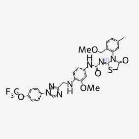 COCc1ccc(C)cc1N1C(=O)CS/C1=N\C(=O)Nc1ccc(NCc2ncn(-c3ccc(OC(F)(F)F)cc3)n2)c(OC)c1